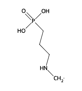 [CH2]NCCCP(=O)(O)O